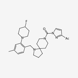 CC(=O)c1ccn(C(=O)N2CCC3(CCCN3Cc3ccc(C)cc3N3CCC(F)CC3)CC2)n1